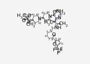 C=C(NCC1CCCC(c2ccc(C(F)(F)F)o2)O1)/C(C)=C(\N=C/N)C(=O)N1CCC(N2CCC(N(C)S(C)(=O)=O)CC2)CC1